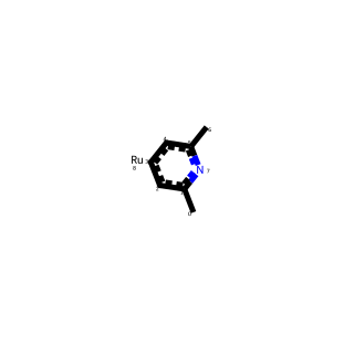 Cc1cccc(C)n1.[Ru]